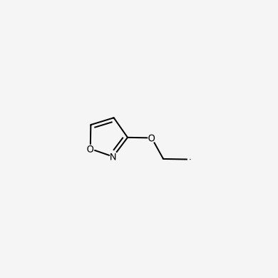 [CH2]COc1ccon1